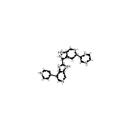 c1cc(-c2cncc3[nH]c(-c4n[nH]c5cnc(-c6cnccn6)cc45)nc23)ccn1